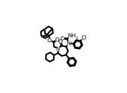 NC(=O)N(c1cccc(Cl)c1)C1CC(c2ccccc2)CC(C2CCCCC2)N(CC(=O)OC23CC4CC(CC(C4)C2)C3)C1=O